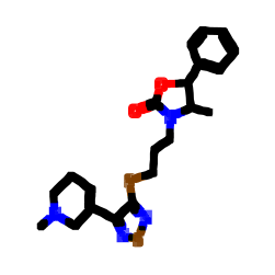 CC1C(c2ccccc2)OC(=O)N1CCCSc1nsnc1C1=CCCN(C)C1